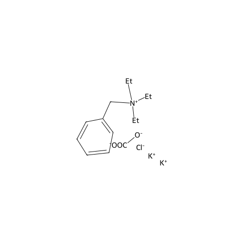 CC[N+](CC)(CC)Cc1ccccc1.O=C([O-])[O-].[Cl-].[K+].[K+]